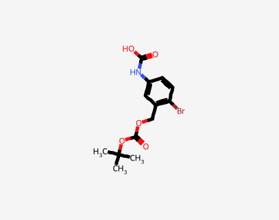 CC(C)(C)OC(=O)OCc1cc(NC(=O)O)ccc1Br